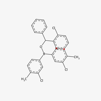 Cc1ccc(B(OC(c2ccccc2)c2ncccc2Cl)c2ccc(C)c(Cl)c2)cc1Cl